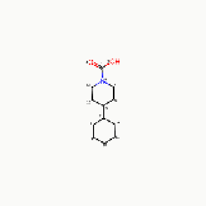 O=C(O)N1CCC(C2CCCCC2)CC1